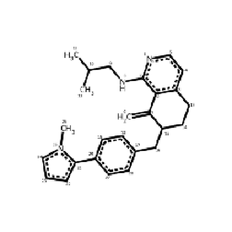 C=C1c2c(ccnc2NCC(C)C)CCC1Cc1ccc(-c2cccn2C)cc1